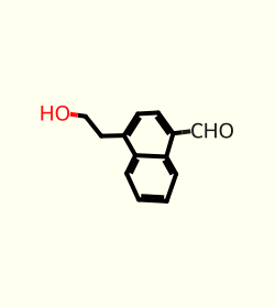 O=Cc1ccc(CCO)c2ccccc12